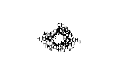 C=C(C)CN1C(C)(C)C(C)(C)NC(C)(C)C(C)(C)N(CC(=C)C)C(C)(C)C(C)(C)N(CC(=C)C)C(C)(C)C1(C)C